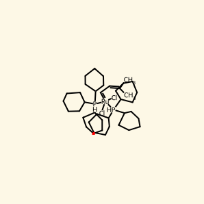 CC(C)=C[CH]=[Ru]([Cl])([Cl])([PH](C1CCCCC1)(C1CCCCC1)C1CCCCC1)[PH](C1CCCCC1)(C1CCCCC1)C1CCCCC1